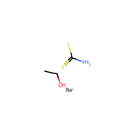 CCO.NC(=S)[S-].[Na+]